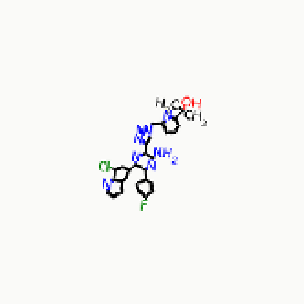 CC(C)(O)c1cccc(Cn2cc(-c3nc(-c4cc(Cl)c5ncccc5c4)c(-c4ccc(F)cc4)nc3N)nn2)n1